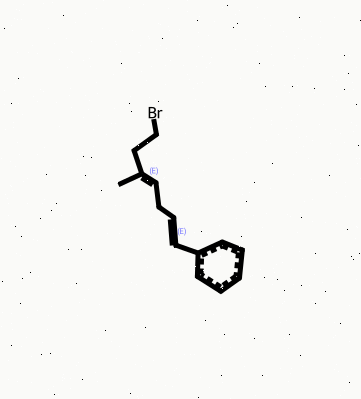 C/C(=C\C/C=C/c1ccccc1)CCBr